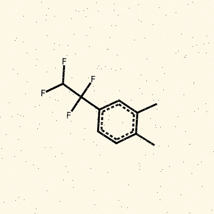 Cc1ccc(C(F)(F)C(F)F)cc1C